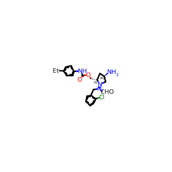 CCc1ccc(NC(=O)OC[C@@H]2C[C@@H](N)CN2N(C=O)Cc2ccccc2Cl)cc1